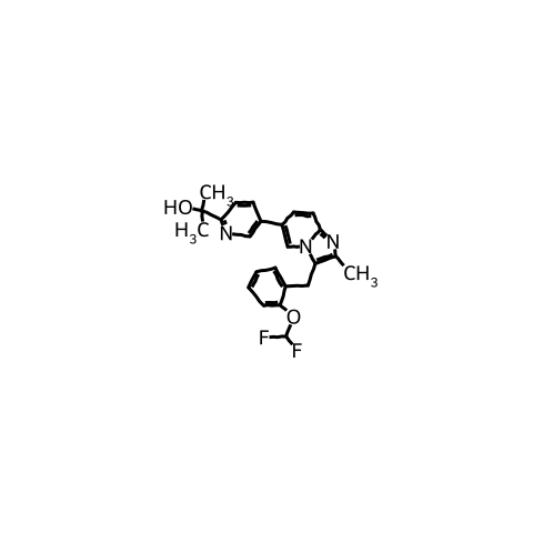 Cc1nc2ccc(-c3ccc(C(C)(C)O)nc3)cn2c1Cc1ccccc1OC(F)F